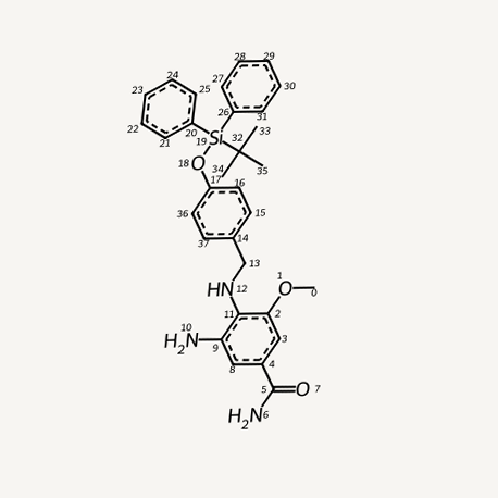 COc1cc(C(N)=O)cc(N)c1NCc1ccc(O[Si](c2ccccc2)(c2ccccc2)C(C)(C)C)cc1